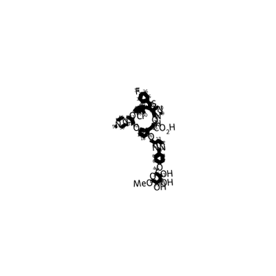 CO[C@H]1O[C@H](COc2ccc(-c3nccc(COc4ccc5cc4C[C@H](C(=O)O)Oc4ncnc6sc(-c7ccc(F)cc7)c(c46)-c4ccc(c(Cl)c4C)O[C@H](CN4CCN(C)CC4)CO5)n3)cc2)[C@@H](O)[C@H](O)[C@@H]1O